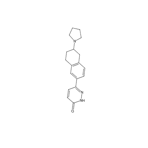 O=c1ccc(-c2ccc3c(c2)CCC(N2CCCC2)C3)n[nH]1